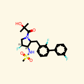 CC(C)(O)C(=O)N1C[C@H](F)[C@H](NS(C)(=O)=O)C1Cc1cccc(-c2cccc(F)c2)c1F